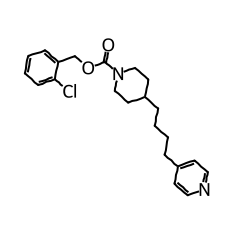 O=C(OCc1ccccc1Cl)N1CCC(CCCCc2ccncc2)CC1